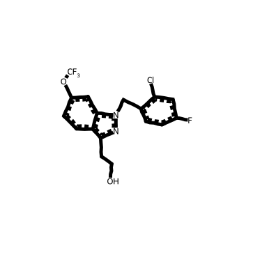 OCCc1nn(Cc2ccc(F)cc2Cl)c2cc(OC(F)(F)F)ccc12